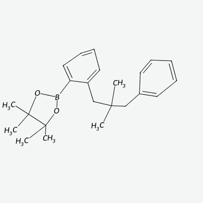 CC(C)(Cc1ccccc1)Cc1ccccc1B1OC(C)(C)C(C)(C)O1